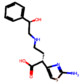 Nc1nc([C@@H](CCNC[C@H](O)c2ccccc2)C(=O)O)cs1